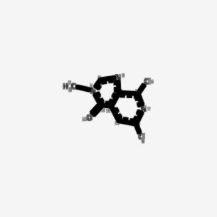 Cn1cnc2c(Cl)nc(Cl)cc2c1=O